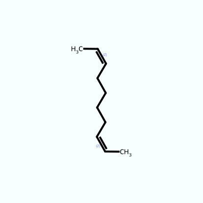 C/C=C\CCCC/C=C\C